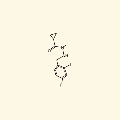 CN(NCc1ccc(F)cc1F)C(=O)C1CC1